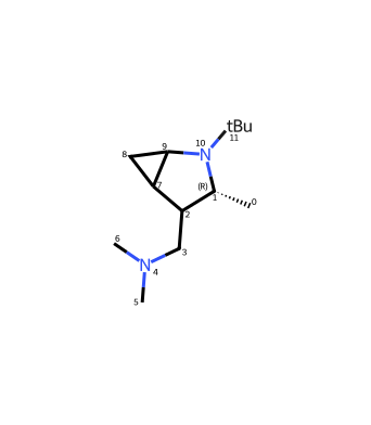 C[C@@H]1C(CN(C)C)C2CC2N1C(C)(C)C